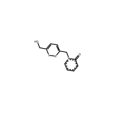 O=c1ccccn1CC1=CC=C(CO)SS1